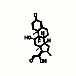 C[C@@H]1C[C@H]2[C@@H]3CCC4=CC(=O)C=C[C@]4(C)[C@@]3(F)[C@@H](O)C[C@]2(C)/C1=C(/O)C=O